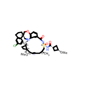 CO[C@H]1/C=C/C[C@H](C)C[S@@](=O)(NC(=O)[C@H]2C[C@@H](OC)C2)=NC(=O)c2ccc3c(c2)N(C[C@@H]2CC[C@H]21)C[C@@]1(CCCc2cc(Cl)ccc21)CO3